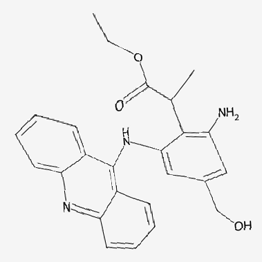 CCOC(=O)C(C)c1c(N)cc(CO)cc1Nc1c2ccccc2nc2ccccc12